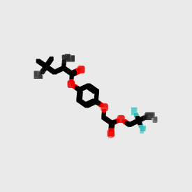 CCC(C)(C)CC(C(=O)Oc1ccc(OCC(=O)OCC(F)(F)C(F)(F)F)cc1)C(C)(C)C